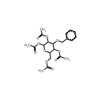 CC(=O)OCC1OC(OC(C)=O)C(OC(C)=O)C(OCc2ccccc2)C1OC(C)=O